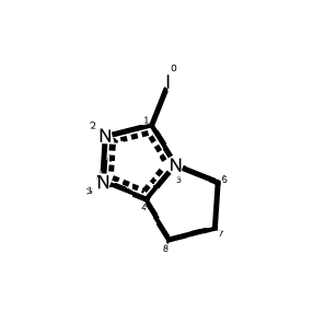 Ic1nnc2n1CCC2